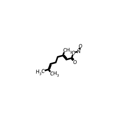 CC(C)=CCCC(C)=CC(=O)ON=O